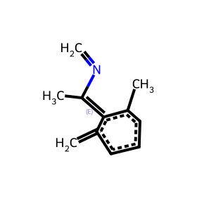 C=N/C(C)=c1\c(C)cccc1=C